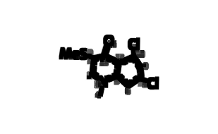 CSc1cn(C)c2cc(Cl)cc(Cl)c2c1=O